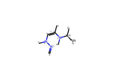 C=NN(C)/C=C(/C)N(C)[C@@H](C)C(C)C